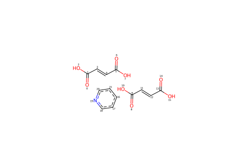 O=C(O)/C=C/C(=O)O.O=C(O)/C=C/C(=O)O.c1ccncc1